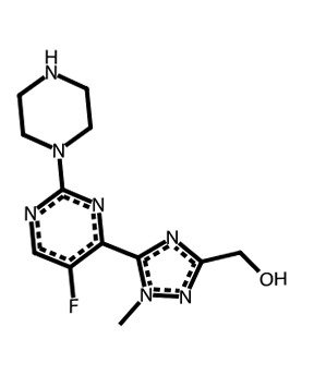 Cn1nc(CO)nc1-c1nc(N2CCNCC2)ncc1F